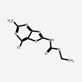 CCOC(=O)Nc1nc2nc(C)nc(Cl)c2s1